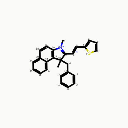 C[N+]1=C(/C=C/c2cccs2)C(C)(Cc2ccccc2)c2c1ccc1ccccc21